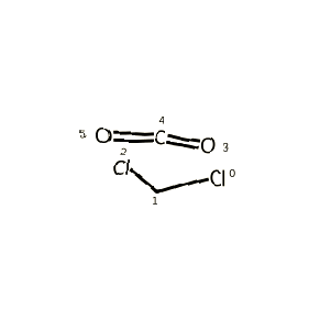 ClCCl.O=C=O